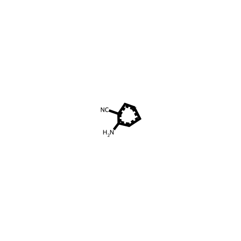 N#Cc1c[c]ccc1N